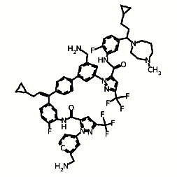 CN1CCCN(C(CCC2CC2)c2ccc(F)c(NC(=O)c3cc(C(F)(F)F)nn3-c3cc(CN)cc(-c4ccc(/C(=C/CC5CC5)c5ccc(F)c(NC(=O)c6cc(C(F)(F)F)nn6-c6cccc(CN)c6)c5)cc4)c3)c2)CC1